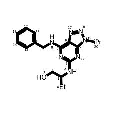 CCC(CO)Nc1nc(NCc2ccccc2)c2nnn(C(C)C)c2n1